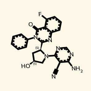 N#Cc1c(N)ncnc1N1C[C@@H](O)C[C@H]1c1nc2cccc(F)c2c(=O)n1-c1ccccc1